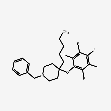 CCCCCC1(Oc2c(F)c(F)c(F)c(F)c2F)CCN(Cc2ccccc2)CC1